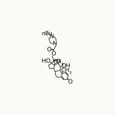 CCCCN1CCN(CC(=O)OCC(=O)[C@@]2(O)CCC3C4CCC5=CC(=O)C=CC5(C)C4C(O)CC32C)CC1